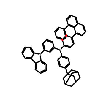 c1ccc(-c2cccc3cccc(-c4ccc(N(c5ccc(C67CC8CC(CC(C8)C6)C7)cc5)c5cccc(-n6c7ccccc7c7ccccc76)c5)cc4)c23)cc1